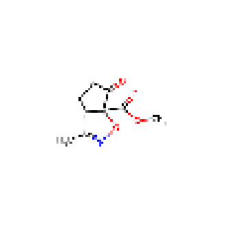 COC(=O)C12ON=C(C)C1CCC2=O